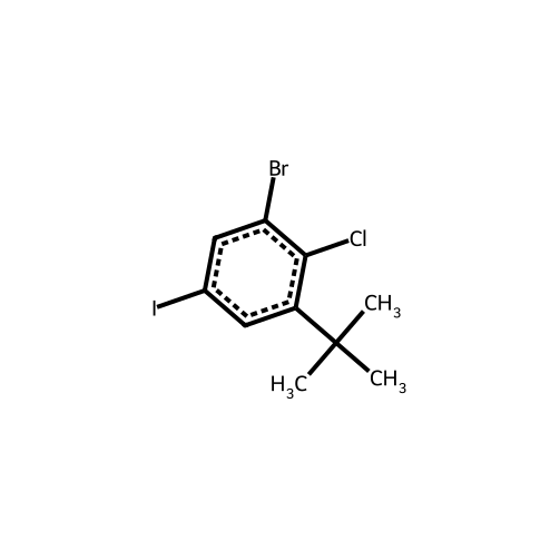 CC(C)(C)c1cc(I)cc(Br)c1Cl